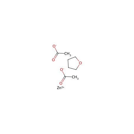 C1CCOC1.CC(=O)[O-].CC(=O)[O-].[Zn+2]